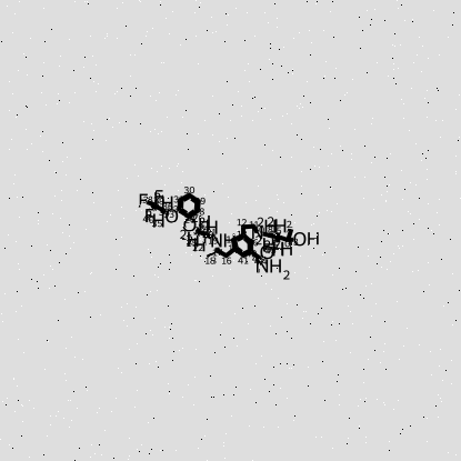 [2H]C(C)(O)C([2H])([2H])C([2H])([2H])N1CCc2cc(C[C@@H](C)NC([2H])([2H])C([2H])([2H])Oc3ccccc3OC([2H])([2H])C(F)(F)F)cc(C(N)=O)c21